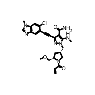 C=CC(=O)N1C[C@@H](Cn2nc(C#Cc3cc4ncn(C)c4cc3Cl)c(C(N)=O)c2NC)C[C@@H]1COC